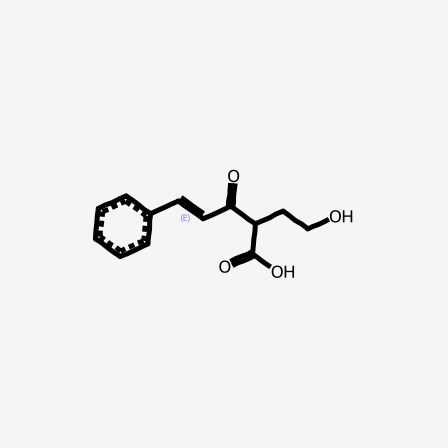 O=C(O)C(CCO)C(=O)/C=C/c1ccccc1